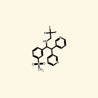 CS(=O)(=O)c1cccc(C(NCC(F)(F)F)C(c2cccnc2)c2cccnc2)c1